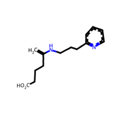 C=C(CCCC(=O)O)NCCCc1ccccn1